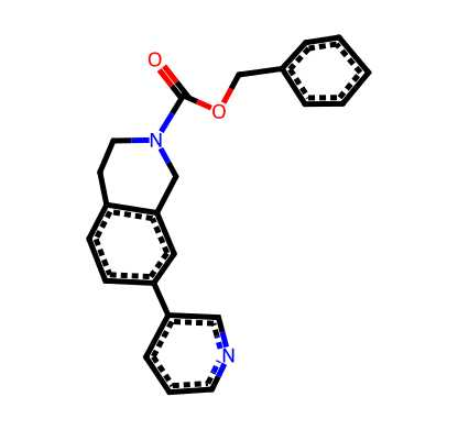 O=C(OCc1ccccc1)N1CCc2ccc(-c3cccnc3)cc2C1